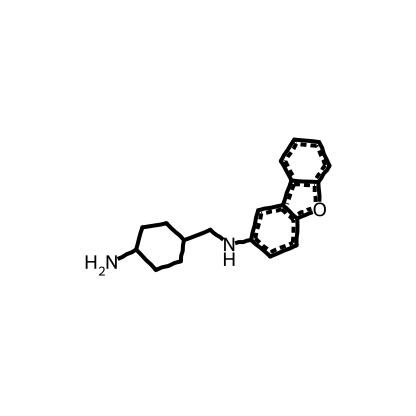 NC1CCC(CNc2ccc3oc4ccccc4c3c2)CC1